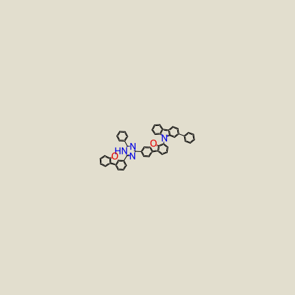 c1ccc(-c2ccc3c4ccccc4n(-c4cccc5c4oc4cc(C6=NC(c7ccccc7)NC(c7cccc8c7oc7ccccc78)=N6)ccc45)c3c2)cc1